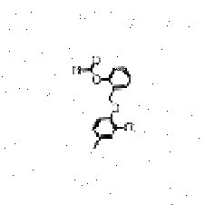 CCC(=O)Oc1ccccc1COc1ccc(C)cc1Cl